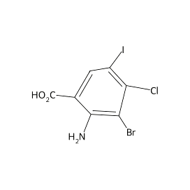 Nc1c(C(=O)O)cc(I)c(Cl)c1Br